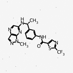 C[C@H](Nc1cnc2cnn(C)c2n1)c1cccc(NC(=O)c2cnc(C(F)(F)F)s2)c1